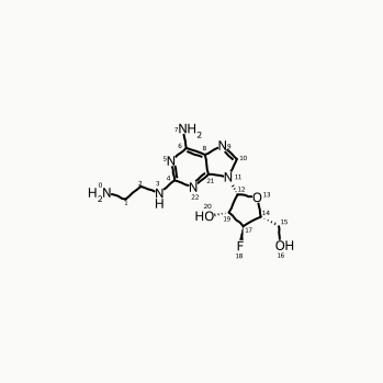 NCCNc1nc(N)c2ncn([C@@H]3O[C@H](CO)[C@@H](F)[C@@H]3O)c2n1